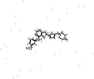 CN1CCN(Cc2ccc(C3Cc4ncnc(Nc5cccc(O)c5)c4S3)s2)CC1